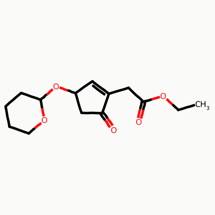 CCOC(=O)CC1=CC(OC2CCCCO2)CC1=O